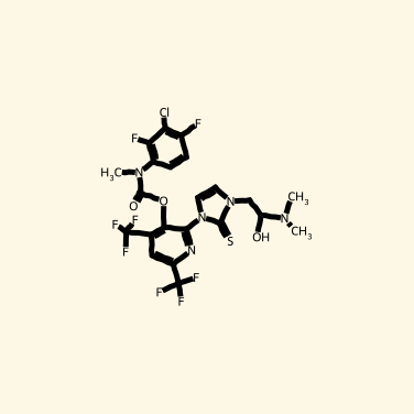 CN(C(=O)Oc1c(C(F)(F)F)cc(C(F)(F)F)nc1-n1ccn(CC(O)N(C)C)c1=S)c1ccc(F)c(Cl)c1F